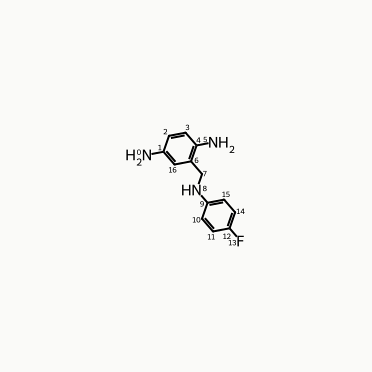 Nc1ccc(N)c(CNc2ccc(F)cc2)c1